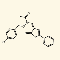 CC(=O)N(/C=C1/N=C(c2ccccc2)OC1=O)OCc1ccc(Cl)cc1